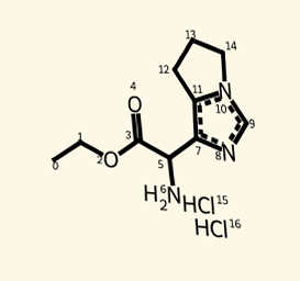 CCOC(=O)C(N)c1ncn2c1CCC2.Cl.Cl